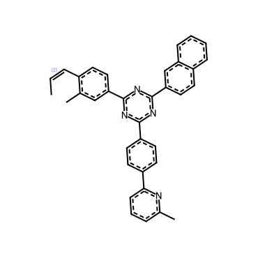 C/C=C\c1ccc(-c2nc(-c3ccc(-c4cccc(C)n4)cc3)nc(-c3ccc4ccccc4c3)n2)cc1C